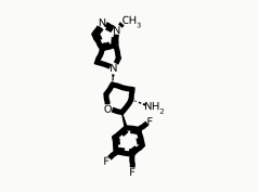 Cn1ncc2c1CN([C@H]1CO[C@H](c3cc(F)c(F)cc3F)[C@@H](N)C1)C2